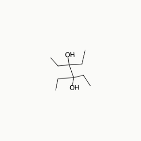 CCC(O)(CC)C(O)(CC)CC